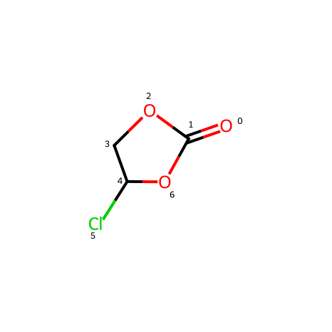 O=C1OCC(Cl)O1